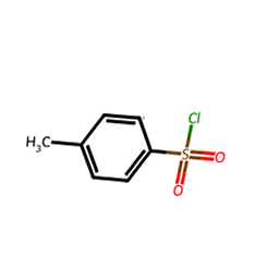 Cc1c[c]c(S(=O)(=O)Cl)cc1